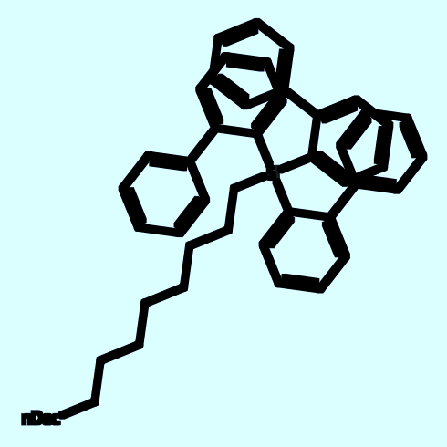 CCCCCCCCCCCCCCCCCC[Si](c1ccccc1-c1ccccc1)(c1ccccc1-c1ccccc1)c1ccccc1-c1ccccc1